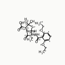 CCOc1cccc(OCC)c1C(=O)N[C@@]1(C)C(=O)N2[C@@H](C(=O)O)C(C)(C)S[C@@H]21